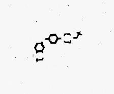 C[C@H]1CN(c2ccc(Nc3ccc4c(c3)OCC(=O)N4)cc2)CCN1CC(F)(F)F